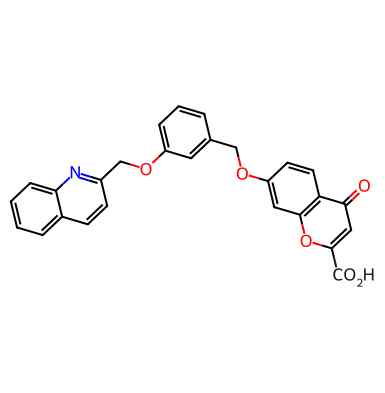 O=C(O)c1cc(=O)c2ccc(OCc3cccc(OCc4ccc5ccccc5n4)c3)cc2o1